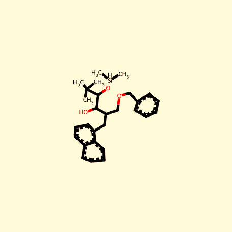 C[SiH](C)OC(C(O)C(COCc1ccccc1)Cc1cccc2ccccc12)C(C)(C)C